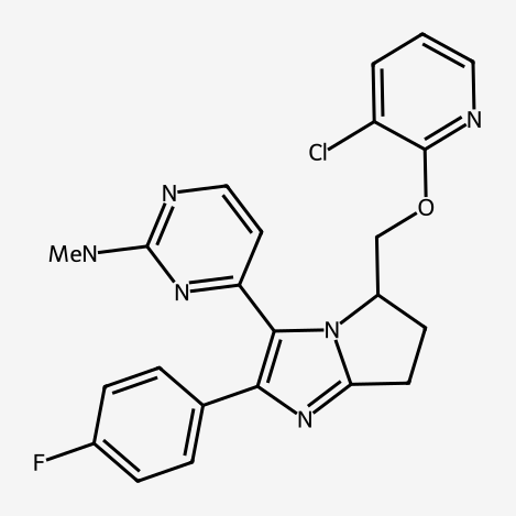 CNc1nccc(-c2c(-c3ccc(F)cc3)nc3n2C(COc2ncccc2Cl)CC3)n1